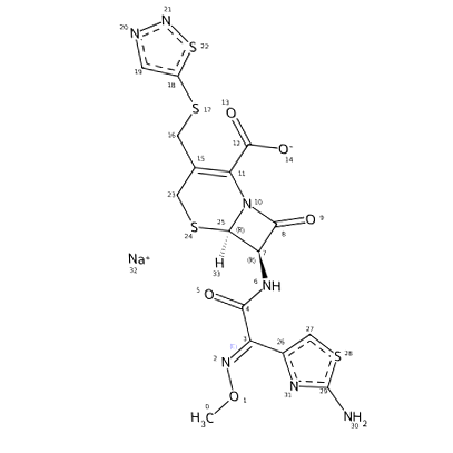 CO/N=C(/C(=O)N[C@@H]1C(=O)N2C(C(=O)[O-])=C(CSc3cnns3)CS[C@H]12)c1csc(N)n1.[Na+]